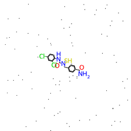 NC(=O)c1ccc(CN(S)C(=O)Nc2ccc(Cl)cc2Cl)cc1